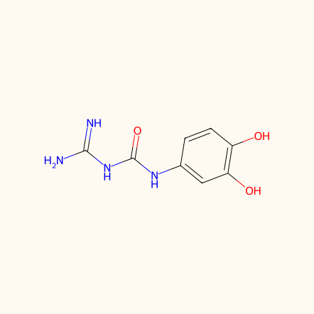 N=C(N)NC(=O)Nc1ccc(O)c(O)c1